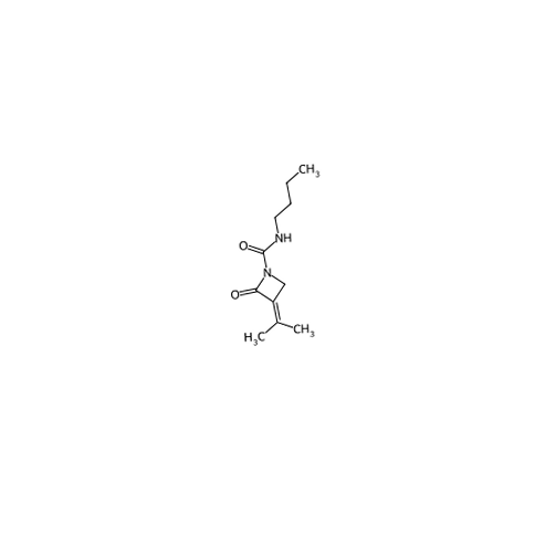 CCCCNC(=O)N1CC(=C(C)C)C1=O